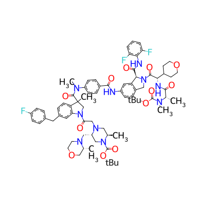 C[C@@H]1COCCN1C[C@H]1CN(C(=O)OC(C)(C)C)[C@H](C)CN1CC(=O)N1CC(C)(C(=O)N(C)c2ccc(C(=O)Nc3ccc4c(c3)[C@@H](C(=O)Nc3c(F)cccc3F)N(C(=O)[C@@H](NC(=O)[C@H](C)N(C)C(=O)OC(C)(C)C)C3CCOCC3)C4)cc2)c2ccc(Cc3ccc(F)cc3)cc21